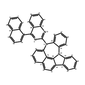 c1ccc2c(-c3nc(-n4c5cccc6ccc7c8ccccc8n(c8ccccc84)c7c65)nc4ccccc34)cccc2c1